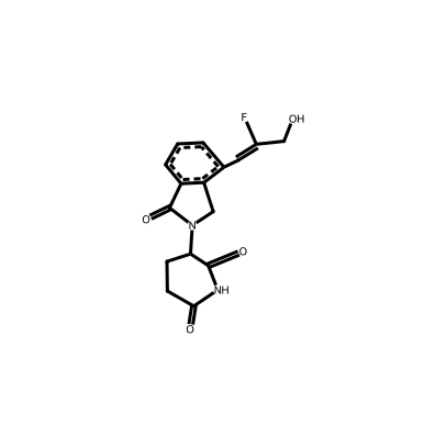 O=C1CCC(N2Cc3c(/C=C(\F)CO)cccc3C2=O)C(=O)N1